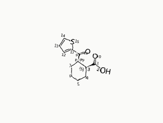 O=C(O)[C@H]1CCCC[C@H]1C(=O)c1cccs1